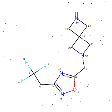 FC(F)(F)Cc1noc(CN2CC3(CNC3)C2)n1